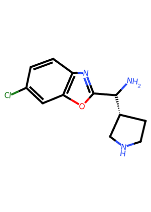 NC(c1nc2ccc(Cl)cc2o1)[C@@H]1CCNC1